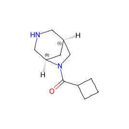 O=C(C1CCC1)N1C[C@@H]2CNC[C@H]1C2